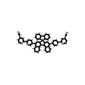 N#Cc1ccnc(-c2ccc(-c3cc4c(c5ccccc35)-c3c(cc(-c5ccc(-c6cc(C#N)ccn6)nc5)c5ccccc35)C43c4ccccc4-c4ccccc43)cn2)c1